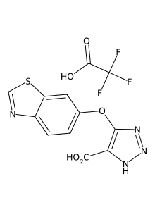 O=C(O)C(F)(F)F.O=C(O)c1[nH]nnc1Oc1ccc2ncsc2c1